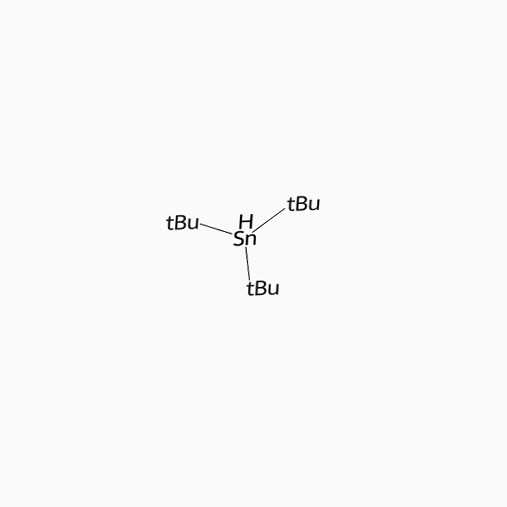 C[C](C)(C)[SnH]([C](C)(C)C)[C](C)(C)C